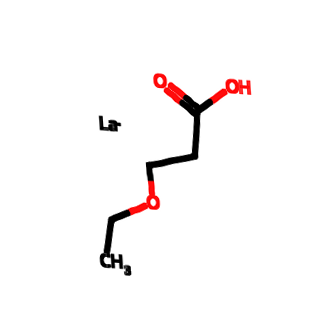 CCOCCC(=O)O.[La]